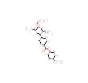 CCCCCCCCOc1cc(N)c(-c2ccc(C(=O)Oc3ccc(C=O)cc3)cc2)cc1[N+](=O)[O-]